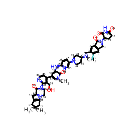 CN(Cc1cc2c(cc1F)CN(C1CCC(=O)NC1=O)C2=O)C1CCN(c2ccc(Nc3cc(-c4ccnc(N5CCn6c(cc7c6CC(C)(C)C7)C5=O)c4CO)cn(C)c3=O)nc2)CC1